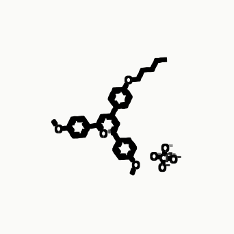 CCCCCOc1ccc(-c2cc(-c3ccc(OC)cc3)[o+]c(-c3ccc(OC)cc3)c2)cc1.[O-][Cl+3]([O-])([O-])[O-]